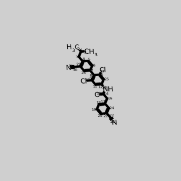 CC(C)Cc1ccc(-c2c(Cl)cc(NC(=O)Cc3cccc(C#N)c3)cc2Cl)cc1C#N